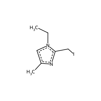 CCn1cc(C)nc1CI